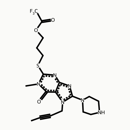 CC#CCn1c(N2CCNCC2)nc2nc(SCCCOC(=O)C(F)(F)F)n(C)c(=O)c21